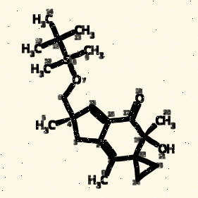 CC1=C2C[C@](C)(CO[Si](C)(C)C(C)(C)C)C=C2C(=O)[C@](C)(O)C12CC2